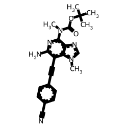 CN(C(=O)OC(C)(C)C)c1nc(N)c(C#Cc2ccc(C#N)cc2)c2c1ncn2C